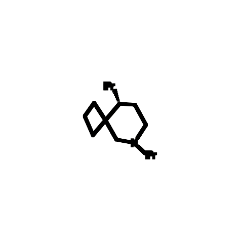 CC(C)[C@@H]1CCN(C(C)C)CC12CCC2